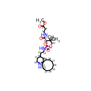 COC(=O)CCNC(=O)[C@@H]1OP(=O)(NCCC2CCNC3(CCCCCCCCC3)C2)OCC1(C)C